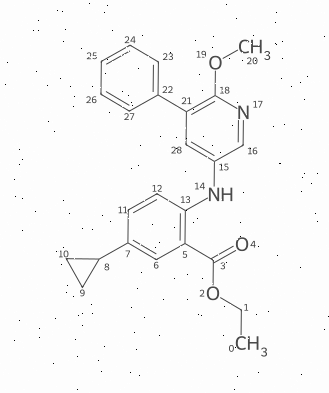 CCOC(=O)c1cc(C2CC2)ccc1Nc1cnc(OC)c(-c2ccccc2)c1